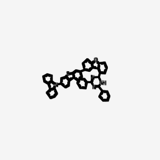 c1ccc(C2=NC(c3cccc4oc5ccc(-c6ccc7c(c6)sc6cc(-n8c9ccccc9c9ccccc98)ccc67)cc5c34)NC(c3ccccc3)=N2)cc1